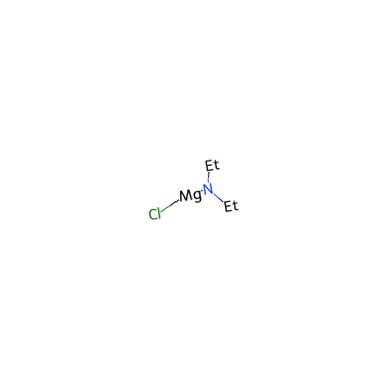 CC[N](CC)[Mg][Cl]